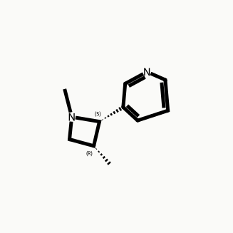 C[C@@H]1CN(C)[C@@H]1c1cccnc1